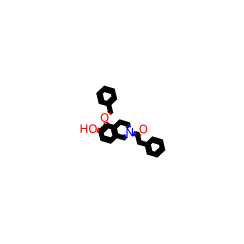 O=C(Cc1ccccc1)N1CCc2c(ccc(O)c2OCc2ccccc2)C1